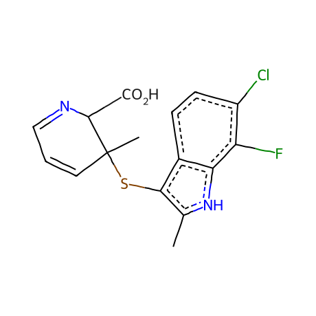 Cc1[nH]c2c(F)c(Cl)ccc2c1SC1(C)C=CC=NC1C(=O)O